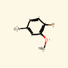 CCCCOc1cc([N+](=O)[O-])ccc1Br